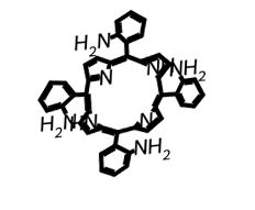 Nc1ccccc1-c1c2nc(c(-c3ccccc3N)c3ccc([nH]3)c(-c3ccccc3N)c3nc(c(-c4ccccc4N)c4ccc1[nH]4)C=C3)C=C2